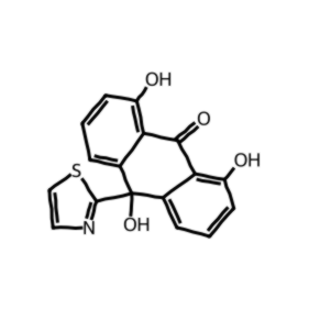 O=C1c2c(O)cccc2C(O)(c2nccs2)c2cccc(O)c21